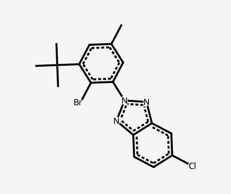 Cc1cc(-n2nc3ccc(Cl)cc3n2)c(Br)c(C(C)(C)C)c1